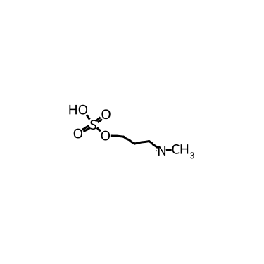 C[N]CCCOS(=O)(=O)O